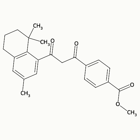 COC(=O)c1ccc(C(=O)CC(=O)c2cc(C)cc3c2C(C)(C)CCC3)cc1